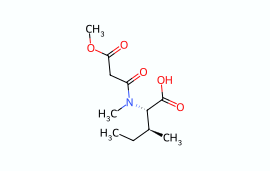 CC[C@H](C)[C@@H](C(=O)O)N(C)C(=O)CC(=O)OC